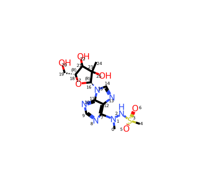 CN(NS(C)(=O)=O)c1ncnc2c1ncn2[C@@H]1O[C@H](CO)C(O)C1(C)O